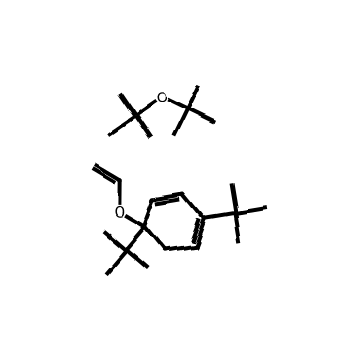 C=COC1(C(C)(C)C)C=CC(C(C)(C)C)=CC1.CC(C)(C)OC(C)(C)C